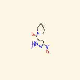 O=Nc1cc(C(=O)N2CCCC2)[nH]n1